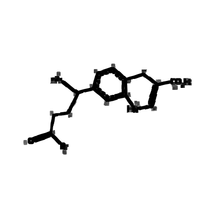 CCCC(CCC(=O)Br)c1ccc2c(c1)NC=C(C(=O)OCC)C2